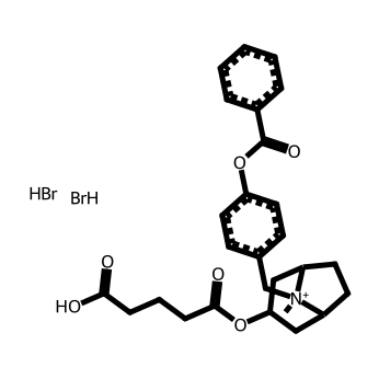 Br.Br.C[N+]1(Cc2ccc(OC(=O)c3ccccc3)cc2)C2CCC1CC(OC(=O)CCCC(=O)O)C2